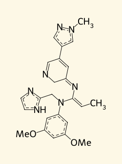 C/C=C(\N=C1\C=C(c2cnn(C)c2)C=NC1)N(Cc1ncc[nH]1)c1cc(OC)cc(OC)c1